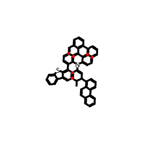 CC1C=CC(N(c2ccccc2-c2cccc3c2sc2ccccc23)c2ccccc2-c2cccc3cccc(-c4ccccc4)c23)=CC1c1cccc2c1ccc1ccccc12